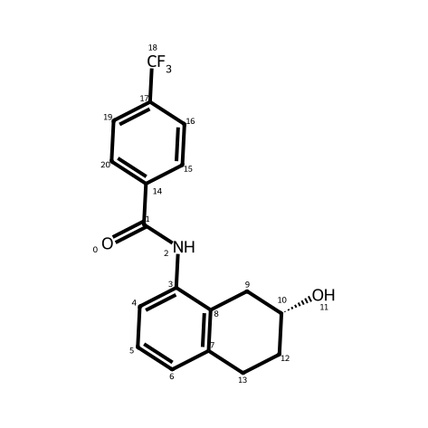 O=C(Nc1cccc2c1C[C@H](O)CC2)c1ccc(C(F)(F)F)cc1